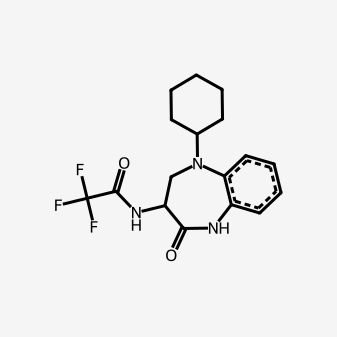 O=C1Nc2ccccc2N(C2CCCCC2)CC1NC(=O)C(F)(F)F